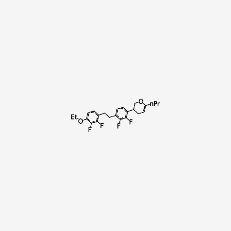 CCCC1=CCC(c2ccc(CCc3ccc(OCC)c(F)c3F)c(F)c2F)CO1